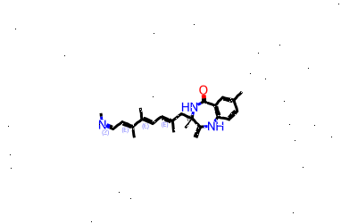 C=C1Nc2ccc(C)cc2C(=O)N[C@@]1(C)C/C(C)=C/C=C(C)/C(C)=C/C=N\C